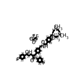 CN1CCN(C)CC[N+](C)(Cc2ccc(CC(=O)NCc3ccc(C4C(CCC(O)c5ccc(F)cc5)C(=O)N4c4ccc(F)cc4)cc3)cc2)CC1.O=C([O-])C(F)(F)F